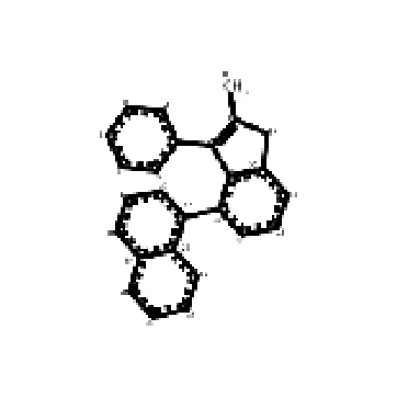 CC1=C(c2ccccc2)c2c(cccc2-c2cccc3ccccc23)[CH]1